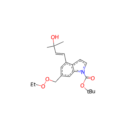 CCOOCc1cc(C=CC(C)(C)O)c2ccn(C(=O)OC(C)(C)C)c2c1